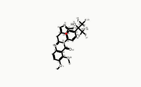 COc1ccc2nc(Cc3cnc(C)s3)n(-c3ccc(C(O)(C(F)(F)F)C(F)(F)F)cc3)c(=O)c2c1OC